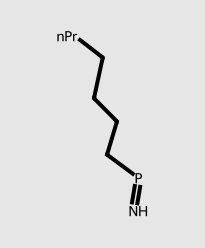 CCCCCCCP=N